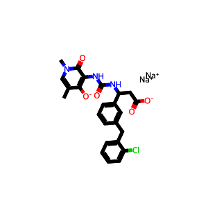 Cc1cn(C)c(=O)c(NC(=O)NC(CC(=O)[O-])c2cccc(Cc3ccccc3Cl)c2)c1[O-].[Na+].[Na+]